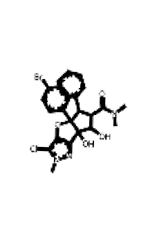 CN(C)C(=O)C1C(O)C2(O)c3nn(C)c(Cl)c3OC2(c2ccc(Br)cc2)C1c1ccccc1